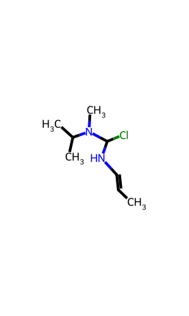 C/C=C/NC(Cl)N(C)C(C)C